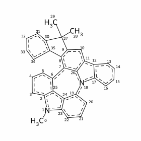 Cn1c2cccc3c4c5c(cc6c7ccccc7n(c7cccc1c7c32)c64)C(C)(C)c1ccccc1-5